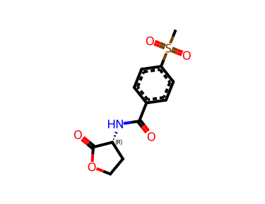 CS(=O)(=O)c1ccc(C(=O)N[C@@H]2CCOC2=O)cc1